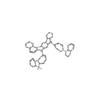 CC1(C)c2ccccc2-c2c(-n3c4cc5c(cc4c4c6ccccc6ccc43)c3ccccc3n5-c3ccc(-c4cccc5ccccc45)cc3)cccc21